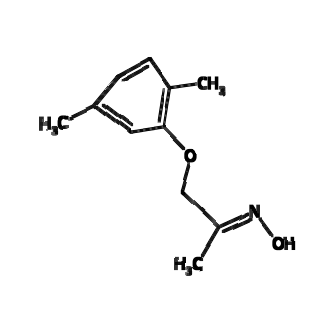 CC(COc1cc(C)ccc1C)=NO